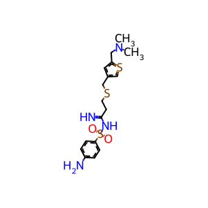 CN(C)Cc1cc(CSCCC(=N)NS(=O)(=O)c2ccc(N)cc2)cs1